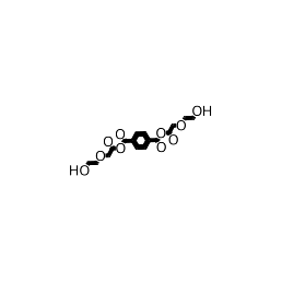 O=C(COCCO)OC(=O)c1ccc(C(=O)OC(=O)COCCO)cc1